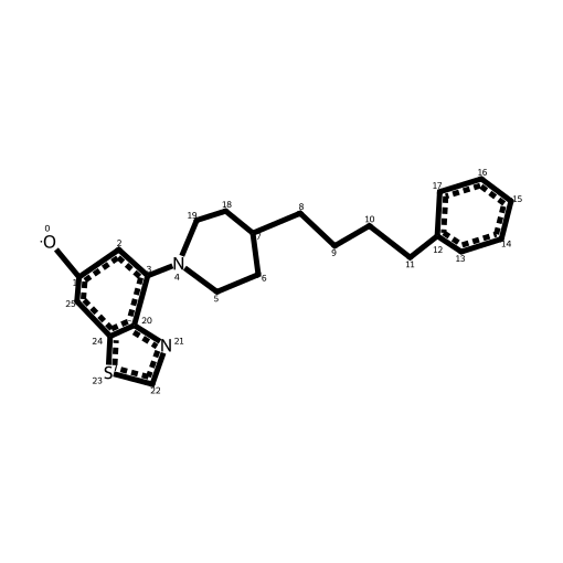 [O]c1cc(N2CCC(CCCCc3ccccc3)CC2)c2ncsc2c1